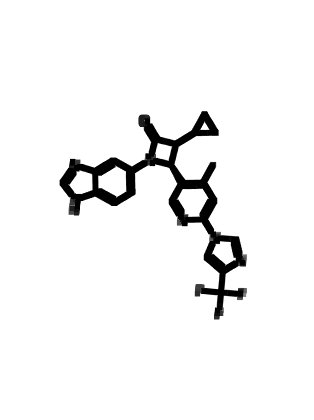 Cc1cc(-n2cnc(C(F)(F)F)c2)ncc1[C@@H]1C(C2CC2)C(=O)N1c1ccc2[nH]cnc2c1